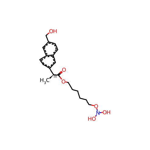 C[C@H](C(=O)OCCCCCCON(O)O)c1ccc2cc(CO)ccc2c1